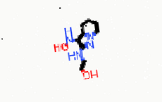 OCCNC1=NN2CCCCC2C1NO